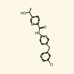 CC(O)c1ccc(C(=O)Nc2ccc(Cc3cccc(Cl)c3)cn2)nc1